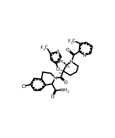 CCC[C@H]1N(C(=O)c2ncccc2C(F)(F)F)CCC[C@@]1(Oc1csc(C(F)(F)F)c1)C(=O)N1CCc2cc(Cl)ccc2C1C(N)=O